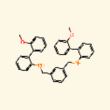 COc1ccccc1-c1ccccc1PCc1cccc(CPc2ccccc2-c2ccccc2OC)c1